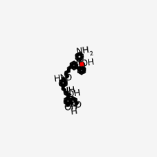 N[C@H]1CC[C@H](N(C(=O)O)c2ccc(CCCC(=O)Nc3ccc(CNCC(O)c4ccc(O)c5[nH]c(=O)ccc45)cc3)cc2-c2ccccc2)CC1